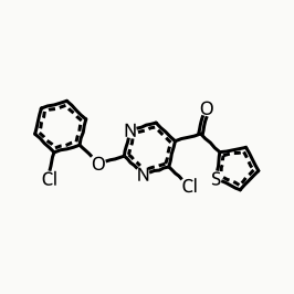 O=C(c1cccs1)c1cnc(Oc2ccccc2Cl)nc1Cl